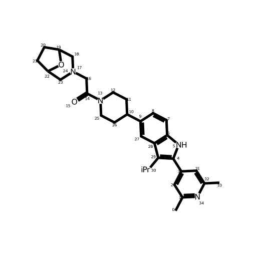 Cc1cc(-c2[nH]c3ccc(C4CCN(C(=O)CN5CC6CCC(C5)O6)CC4)cc3c2C(C)C)cc(C)n1